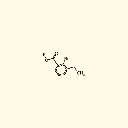 CCc1cccc(C(=O)OF)c1Br